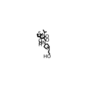 CC(C)n1c(=O)c(C(=O)NC2CCN(CCCO)CC2)c(O)c2ccsc21